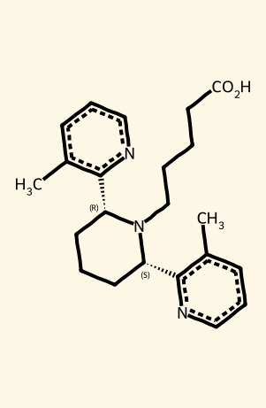 Cc1cccnc1[C@H]1CCC[C@@H](c2ncccc2C)N1CCCCC(=O)O